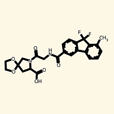 Cc1cccc2c1C(F)(F)c1ccc(C(=O)NCC(=O)N3CC4(CC3C(=O)O)OCCO4)cc1-2